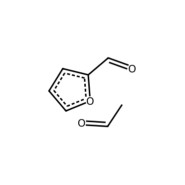 CC=O.O=Cc1ccco1